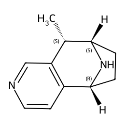 C[C@H]1c2cnccc2[C@H]2CC[C@@H]1N2